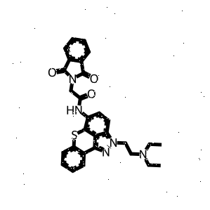 CCN(CC)CCn1nc2c3c(c(NC(=O)CN4C(=O)c5ccccc5C4=O)ccc31)Sc1ccccc1-2